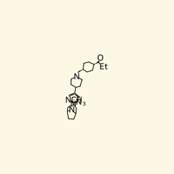 CCC(=O)[C@H]1CC[C@@H](CN2CCC(c3cnc(N4C5CCC4CN(C)C5)nc3)CC2)CC1